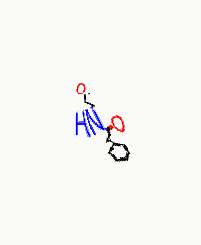 O=[C]CCNC(=O)Cc1ccccc1